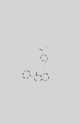 Cc1nc2cccc(NCc3ccc(C(=O)NO)cc3)c2c(=O)n1-c1ccccc1